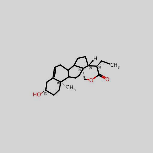 CC[C@H]1C(=O)OC[C@]23CCC4C(CC=C5C[C@@H](O)CC[C@@]54C)C2CC[C@H]13